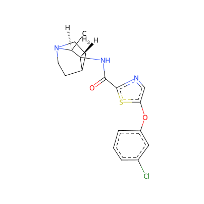 C[C@H]1[C@H](NC(=O)c2ncc(Oc3cccc(Cl)c3)s2)C2CCN1CC2